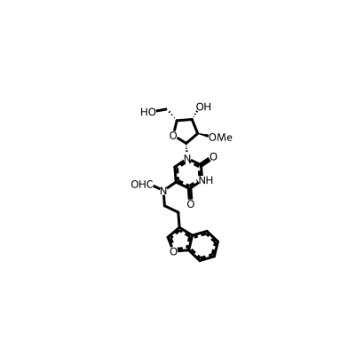 CO[C@@H]1[C@@H](O)[C@@H](CO)O[C@H]1n1cc(N(C=O)CCc2coc3ccccc23)c(=O)[nH]c1=O